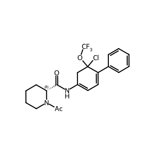 CC(=O)N1CCCC[C@@H]1C(=O)NC1=CC=C(c2ccccc2)C(Cl)(OC(F)(F)F)C1